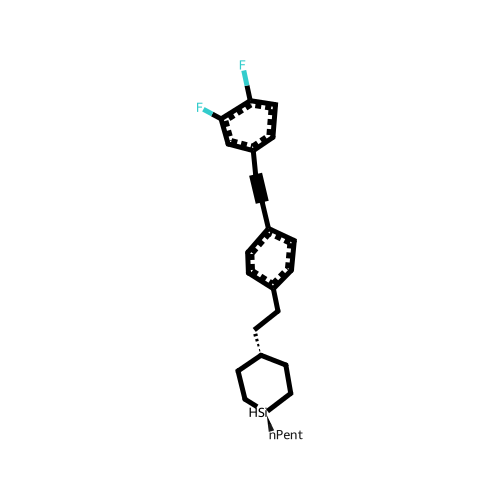 CCCCC[Si@H]1CC[C@H](CCc2ccc(C#Cc3ccc(F)c(F)c3)cc2)CC1